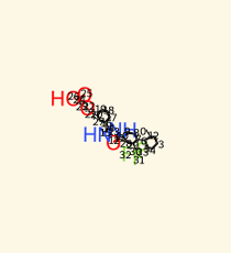 Cc1ccccc1-c1ccc(C(=O)NC(=N)c2cccc(COCC(=O)O)c2)cc1C(F)(F)F